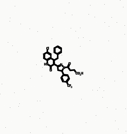 O=C(O)CCC(=O)N1N=C(c2c(Cc3ccccc3)c3cc(Cl)ccc3[nH]c2=O)CC1c1ccc(C(F)(F)F)cc1